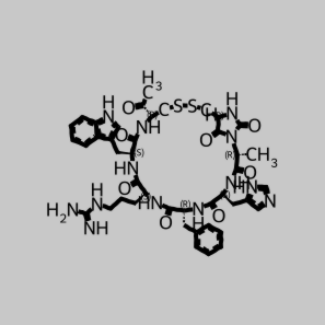 CC(=O)[C@@H]1CSSC[C@@H]2NC(=O)N(C2=O)[C@H](C)C(=O)N[C@@H](Cc2cnc[nH]2)C(=O)N[C@H](Cc2ccccc2)C(=O)N[C@@H](CCCNC(=N)N)C(=O)N[C@@H](Cc2c[nH]c3ccccc23)C(=O)N1